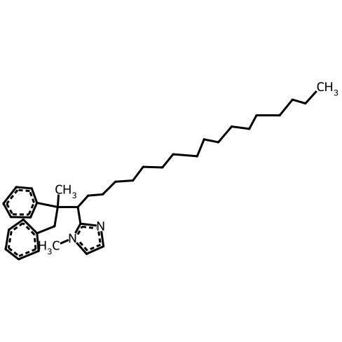 CCCCCCCCCCCCCCCCCC(c1nccn1C)C(C)(Cc1ccccc1)c1ccccc1